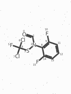 O=CN(SC(F)(Cl)Cl)c1c(F)cccc1F